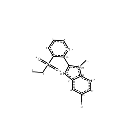 CCS(=O)(=O)c1cccnc1-c1nc2cc(I)cnc2n1C